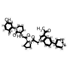 CC(=O)c1cn(CC(=O)N2CCC[C@H]2C(=O)NC2CCCN(c3cc(C)ccc3F)C2=O)c2ccc(-c3ccnnc3)cc12